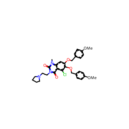 COc1ccc(COc2cc3c(c(Cl)c2OCc2ccc(OC)cc2)c(=O)n(CCN2CCCC2)c(=O)n3C)cc1